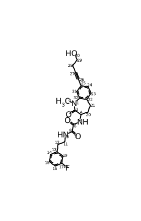 CN1C(=O)C(NC(=O)C(=O)NCCc2cccc(F)c2)CCc2ccc(C#CCCO)cc21